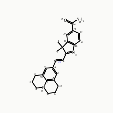 CC1(C)C(/C=C/c2cc3c4c(c2)CCCN4CCC3)=Nc2ccc(C(N)=O)cc21